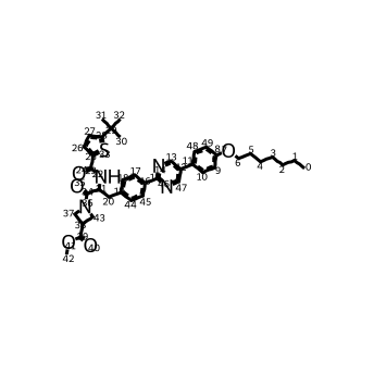 CCCCCCCOc1ccc(-c2cnc(-c3ccc(CC(NC(=O)c4ccc(C(C)(C)C)s4)C(=O)N4CC(C(=O)OC)C4)cc3)nc2)cc1